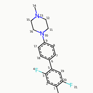 Cc1cc(F)c(-c2ccc(N3CCN(C)CC3)cc2)cc1F